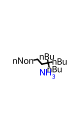 CCCCCCCCCCCC(CCCC)(CCCC)CCCC.N